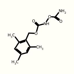 Cc1cc(C)c(COC(=O)NOC(N)=O)c(C)c1